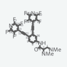 CNCC(NC)C(=O)Nc1ccc(C#Cc2c(F)c(F)nc(F)c2F)c(C#Cc2c(F)c(F)nc(F)c2F)c1